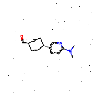 CN(C)c1ccc([C@H]2CC[C@H](C=O)CC2)cn1